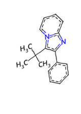 CC(C)(C)c1c(-c2ccccc2)nc2ccccn12